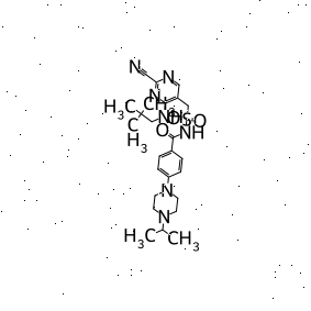 CC(C)N1CCN(c2ccc(C(=O)NS(=O)(=O)Cc3cnc(C#N)nc3NCC(C)(C)C)cc2)CC1